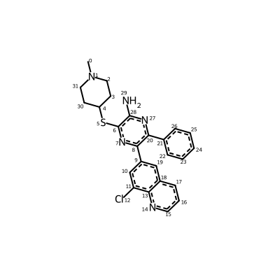 CN1CCC(Sc2nc(-c3cc(Cl)c4ncccc4c3)c(-c3ccccc3)nc2N)CC1